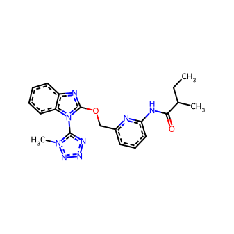 CCC(C)C(=O)Nc1cccc(COc2nc3ccccc3n2-c2nnnn2C)n1